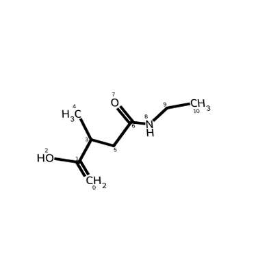 C=C(O)C(C)CC(=O)NCC